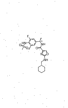 C[C@@H](NC(=O)c1coc(NCC2CCCCC2)n1)c1cc(F)c(NS(C)(=O)=O)c(F)c1